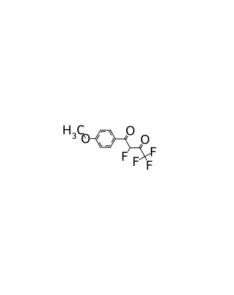 COc1ccc(C(=O)C(F)C(=O)C(F)(F)F)cc1